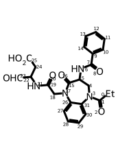 CCC(=O)N1CC(NC(=O)c2ccccc2)C(=O)N(CC(=O)NC(C=O)CC(=O)O)c2ccccc21